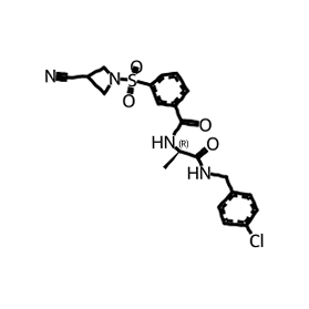 C[C@@H](NC(=O)c1cccc(S(=O)(=O)N2CC(C#N)C2)c1)C(=O)NCc1ccc(Cl)cc1